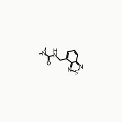 CN(C)C(=O)NCc1cccc2nsnc12